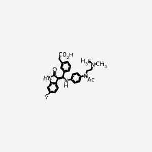 CC(=O)N(CCN(C)C)c1ccc(NC(=C2C(=O)Nc3cc(F)ccc32)c2cccc(CC(=O)O)c2)cc1